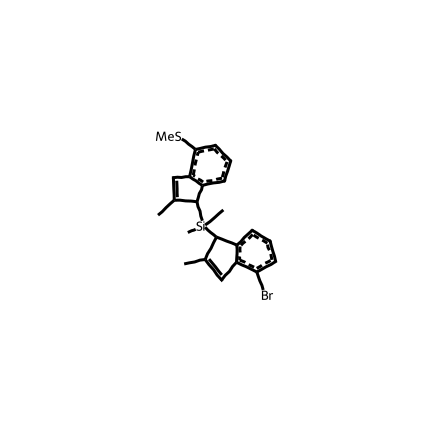 CSc1cccc2c1C=C(C)C2[Si](C)(C)C1C(C)=Cc2c(Br)cccc21